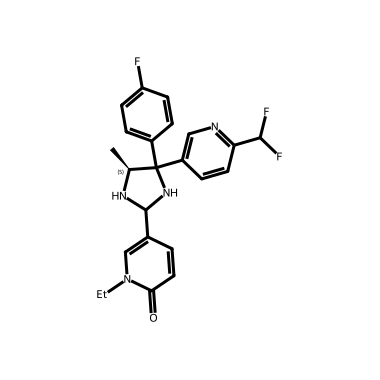 CCn1cc(C2N[C@@H](C)C(c3ccc(F)cc3)(c3ccc(C(F)F)nc3)N2)ccc1=O